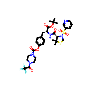 CC(C)(C)OC(=O)[C@H](Cc1ccc(OC(=O)N2CCN(C(=O)C(F)(F)F)CC2)cc1)NC(=O)[C@H]1N(S(=O)(=O)c2cccnc2)CSC1(C)C